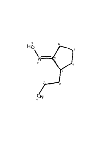 N#CCCC1CCCC1=NO